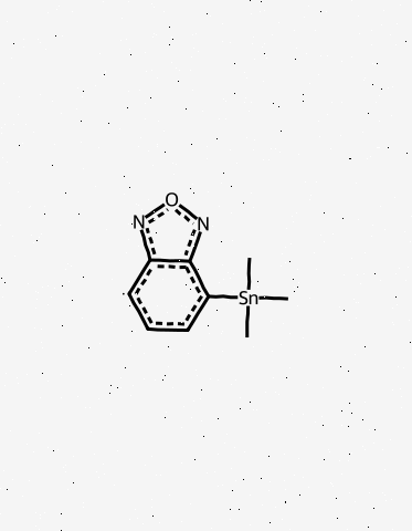 [CH3][Sn]([CH3])([CH3])[c]1cc[c]c2nonc12